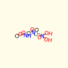 O=C(COc1ccccc1)Nc1ccc(C(=O)N2CCCC(CC(=O)N(CCO)CCO)c3ccccc32)cc1